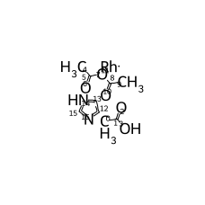 CC(=O)O.CC(=O)OC(C)=O.[Rh].c1c[nH]cn1